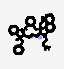 C=CCC1(Cc2ccccc2)/C(=C\C=C\C2=[N+](C)c3ccccc3C2(C)Cc2ccccc2)N(CCC(C)C)c2ccc3ccccc3c21